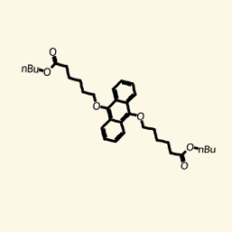 CCCCOC(=O)CCCCCOc1c2ccccc2c(OCCCCCC(=O)OCCCC)c2ccccc12